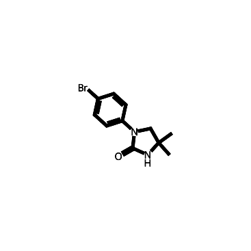 CC1(C)CN(c2ccc(Br)cc2)C(=O)N1